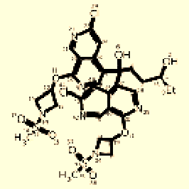 CC[C@H](O)CCC(O)(c1cnc(OC2CN(S(C)(=O)=O)C2)c2cnc(Cl)cc12)c1cnc(OC2CN(S(C)(=O)=O)C2)c2cnc(Cl)cc12